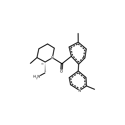 Cc1ccc(-c2ccnc(C)c2)c(C(=O)N2CCCC(C)[C@H]2CN)c1